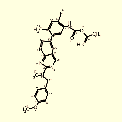 C=C(C)OC(=O)Nc1cc(-c2cnc3nc(N(C)Cc4ccc(OC)cc4)ncc3c2)c(C)cc1F